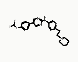 FC(F)Oc1ccc(-c2cnc(Nc3ccc(CCN4CCCCC4)nc3)nc2)cc1